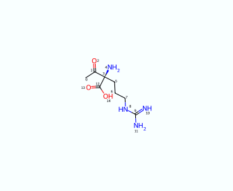 CC(=O)[C@](N)(CCCNC(=N)N)C(=O)O